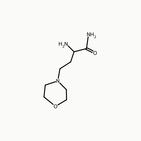 NC(=O)C(N)CCN1CCOCC1